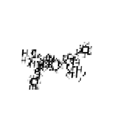 CC(C)CC(NC(=O)OCc1ccccc1)C(=O)N1CCCC(NC(=O)[C@H](CC(C)C)NC(=O)OCc2ccccc2)[C@@H](O)C1